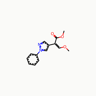 COC=C(C(=O)OC)c1cnn(-c2ccccc2)c1